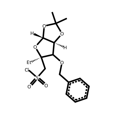 CC[C@]1(CS(=O)(=O)Cl)O[C@@H]2OC(C)(C)O[C@H]2C1OCc1ccccc1